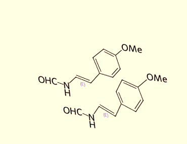 COc1ccc(/C=C/NC=O)cc1.COc1ccc(/C=C/NC=O)cc1